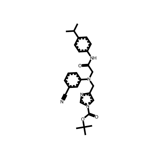 CC(C)c1ccc(NC(=O)CN(Cc2cn(C(=O)OC(C)(C)C)cn2)c2cccc(C#N)c2)cc1